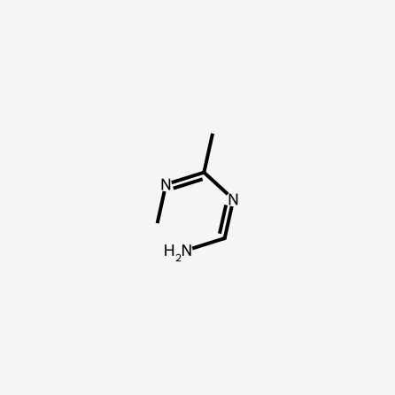 C/N=C(C)\N=C/N